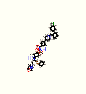 Cc1cc(S(=O)(=O)NC(=O)c2ccc(C3=CCN(Cc4ccccc4-c4ccc(Cl)cc4)CC3)cc2)ccc1N[C@H](CCN1CCOCC1)CSc1ccccc1